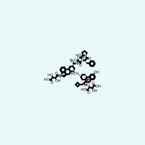 CN1C[C@H](C(=O)N[C@]2(C)O[C@@]3(O)[C@@H]4CCCN4C(=O)[C@H](Cc4ccccc4)N3C2=O)C=C2c3cccc4[nH]cc(c34)C[C@H]21.O=C(O)C(O)C(O)C(=O)O.O=C(O)C(O)C(O)C(=O)O.Oc1ccc2c(c1)[C@@]13CCCC[C@@]1(O)[C@@H](C2)N(CC1CCC1)CC3